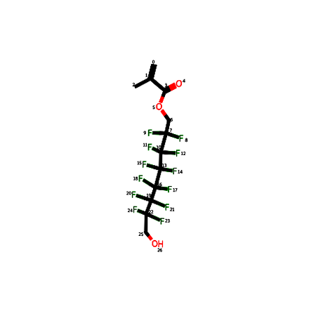 C=C(C)C(=O)OCC(F)(F)C(F)(F)C(F)(F)C(F)(F)C(F)(F)C(F)(F)CO